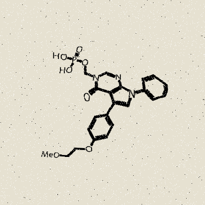 COCCOc1ccc(-c2cn(-c3ccccc3)c3ncn(COP(=O)(O)O)c(=O)c23)cc1